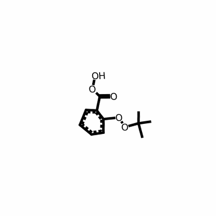 CC(C)(C)OOc1ccccc1C(=O)OO